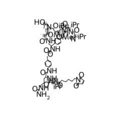 CC[C@H](C)C([C@@H](CC(=O)N1C[C@@H](O)C[C@H]1[C@H](OC)[C@@H](C)C(=O)NCC(NC(=O)OCc1ccc(NC(=O)C(CCCNC(N)=O)NC(=O)[C@@H](NC(=O)CCCCCN2C(=O)C=CC2=O)C(C)C)cc1)c1ccc(C)cc1)OC)N(C)C(=O)[C@@H](NC(=O)[C@H](C(C)C)N(C)C)C(C)C